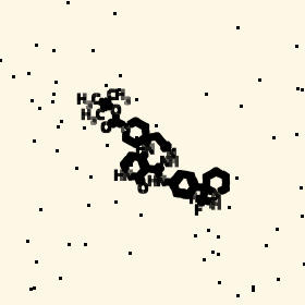 CC(C)(C)OC(=O)N1CCC(CC#N)(Nc2cc[nH]c(=O)c2C(=N)Nc2ccc(C3(C(F)(F)F)CCCCN3)cc2)CC1